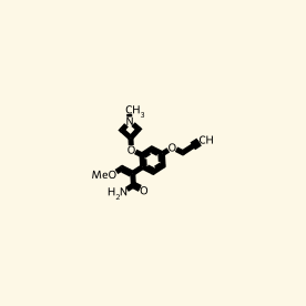 C#CCOc1ccc(C(=COC)C(N)=O)c(OC2CN(C)C2)c1